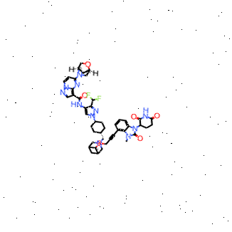 Cn1c(=O)n(C2CCC(=O)NC2=O)c2cccc(C#CCOC3C4CC3CN(C[C@H]3CC[C@H](n5cc(NC(=O)c6cnn7ccc(N8C[C@H]9C[C@@H]8CO9)nc67)c(C(F)F)n5)CC3)C4)c21